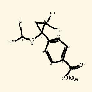 COC(=O)c1ccc(C2(OC(F)F)CC2(F)F)cc1